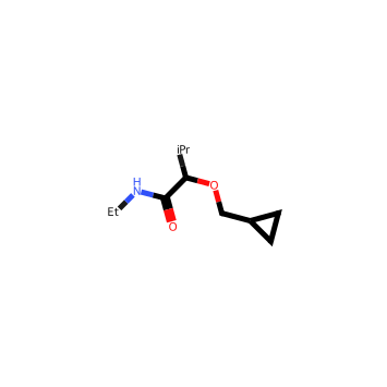 CCNC(=O)C(OCC1CC1)C(C)C